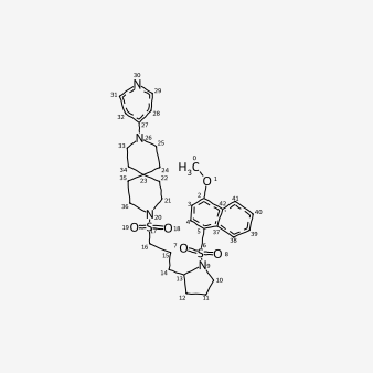 COc1ccc(S(=O)(=O)N2CCCC2CCCS(=O)(=O)N2CCC3(CCN(c4ccncc4)CC3)CC2)c2ccccc12